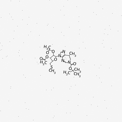 CSCC1OC(n2cnc3c2N=CN(C(=O)OC(C)(C)C)CC3C)C(OC(C)=O)[C@H]1OC(C)=O